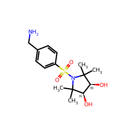 CC1(C)[C@H](O)[C@H](O)C(C)(C)N1S(=O)(=O)c1ccc(CN)cc1